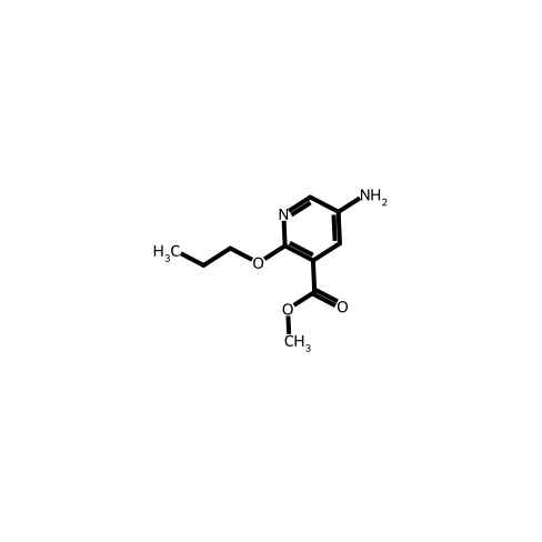 CCCOc1ncc(N)cc1C(=O)OC